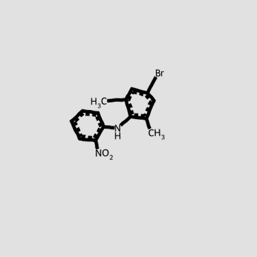 Cc1cc(Br)cc(C)c1Nc1ccccc1[N+](=O)[O-]